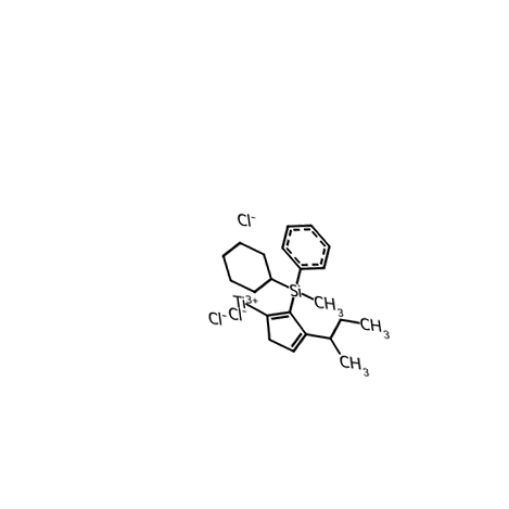 CCC(C)C1=CC[C]([Ti+3])=C1[Si](C)(c1ccccc1)C1CCCCC1.[Cl-].[Cl-].[Cl-]